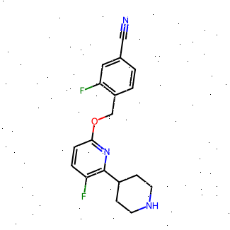 N#Cc1ccc(COc2ccc(F)c(C3CCNCC3)n2)c(F)c1